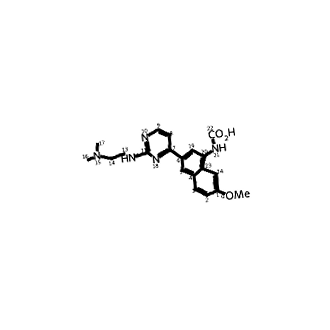 COc1ccc2cc(-c3ccnc(NCCN(C)C)n3)cc(NC(=O)O)c2c1